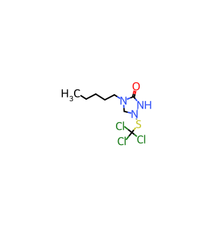 CCCCCN1CN(SC(Cl)(Cl)Cl)NC1=O